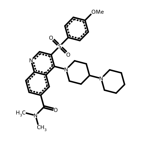 COc1ccc(S(=O)(=O)c2cnc3ccc(C(=O)N(C)C)cc3c2N2CCC(N3CCCCC3)CC2)cc1